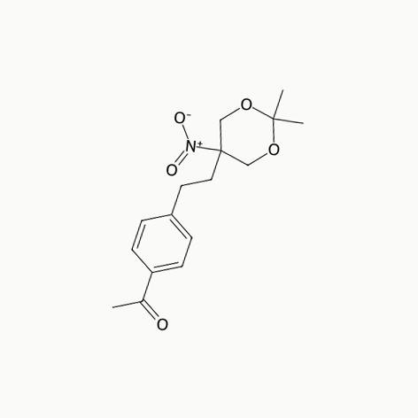 CC(=O)c1ccc(CCC2([N+](=O)[O-])COC(C)(C)OC2)cc1